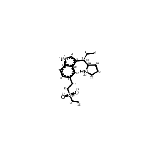 CC[C@H](c1c[nH]c2ccc(CCS(=O)(=O)CC)cc12)C1CCCN1